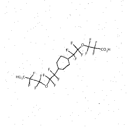 O=C(O)C(F)(F)C(F)(F)OC(F)(F)C(F)(F)C1CCC(C(F)(F)C(F)(F)OC(F)(F)C(F)(F)C(=O)O)CC1